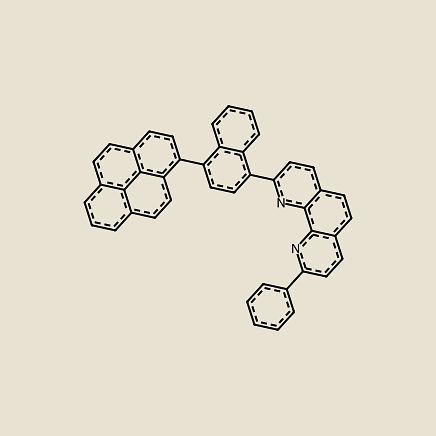 c1ccc(-c2ccc3ccc4ccc(-c5ccc(-c6ccc7ccc8cccc9ccc6c7c89)c6ccccc56)nc4c3n2)cc1